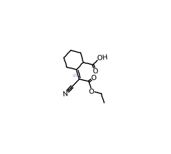 CCOC(=O)/C(C#N)=C1/CCCCC1C(=O)O